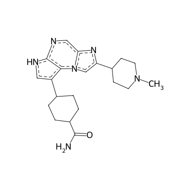 CN1CCC(c2cn3c(cnc4[nH]cc(C5CCC(C(N)=O)CC5)c43)n2)CC1